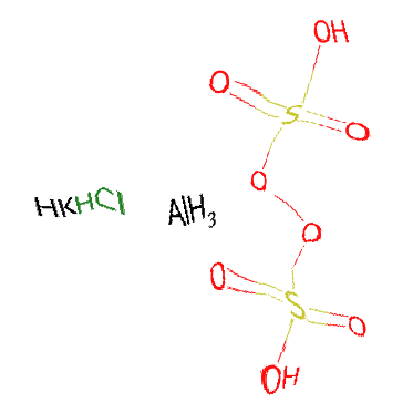 Cl.O=S(=O)(O)OOS(=O)(=O)O.[AlH3].[KH]